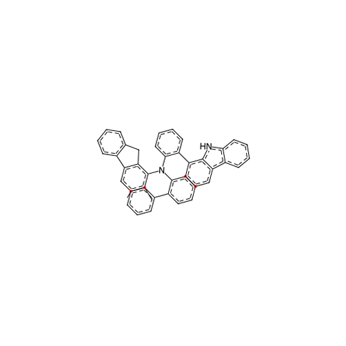 Cc1cc2c(c(N(c3ccccc3-c3ccccc3)c3ccccc3-c3cccc4c3[nH]c3ccccc34)c1C)Cc1ccccc1-2